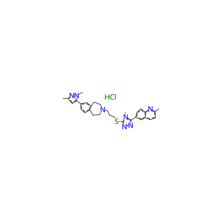 Cc1ccc2cc(-c3nnc(SCCCN4CCc5ccc(-c6cc(C)nn6C)cc5CC4)n3C)ccc2n1.Cl